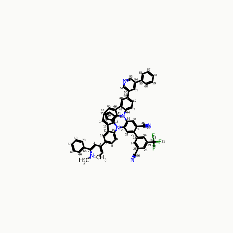 C=N/C(=C\C(=C/C)c1ccc2c(c1)c1ccccc1n2-c1cc(-c2cc(C#N)cc(C(F)(F)F)c2)c(C#N)cc1-n1c2ccccc2c2cc(-c3cncc(-c4ccccc4)c3)ccc21)c1ccccc1